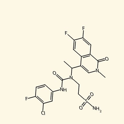 CC(c1cn(C)c(=O)c2cc(F)c(F)cc12)N(CCS(N)(=O)=O)C(=O)Nc1ccc(F)c(Cl)c1